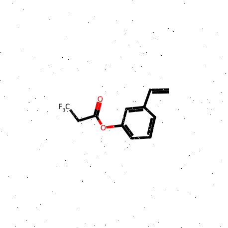 C=Cc1cccc(OC(=O)CC(F)(F)F)c1